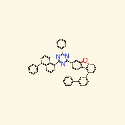 c1ccc(-c2cccc(-c3cccc4oc5cc(-c6nc(-c7ccccc7)nc(-c7cccc8c(-c9ccccc9)cccc78)n6)ccc5c34)c2)cc1